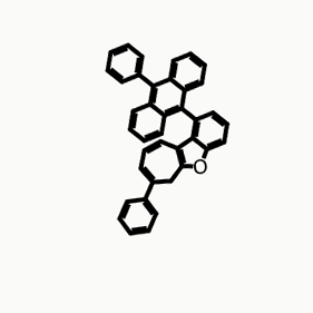 C1=Cc2c(oc3cccc(-c4c5ccccc5c(-c5ccccc5)c5ccccc45)c23)CC(c2ccccc2)=C1